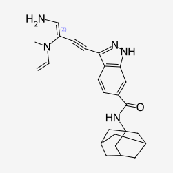 C=CN(C)/C(C#Cc1n[nH]c2cc(C(=O)NC34CC5CC(CC(C5)C3)C4)ccc12)=C\N